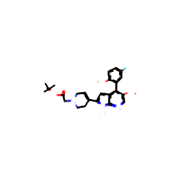 COc1ccc(F)cc1-c1c(OC)cnc2[nH]c(C3=CCN(CC(=O)OC(C)(C)C)CC3)cc12